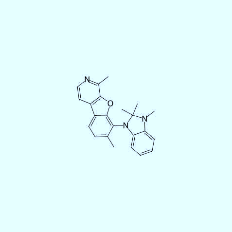 Cc1ccc2c(oc3c(C)nccc32)c1N1c2ccccc2N(C)C1(C)C